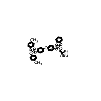 CCCCC(CC)COP(=O)(Oc1ccccc1)Oc1ccccc1.Cc1ccc(OP(=O)(Oc2ccc(C)cc2)Oc2ccc(C)cc2)cc1